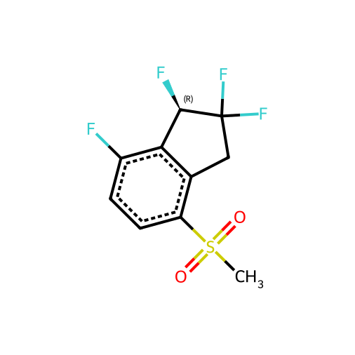 CS(=O)(=O)c1ccc(F)c2c1CC(F)(F)[C@@H]2F